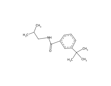 CC(C)CNC(=O)c1cccc(C(C)(C)C)c1